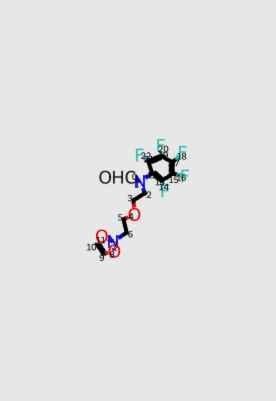 O=[C]N(CCOCCN1OC=CO1)c1c(F)c(F)c(F)c(F)c1F